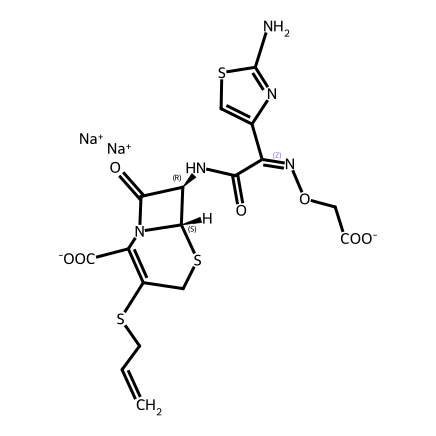 C=CCSC1=C(C(=O)[O-])N2C(=O)[C@@H](NC(=O)/C(=N\OCC(=O)[O-])c3csc(N)n3)[C@@H]2SC1.[Na+].[Na+]